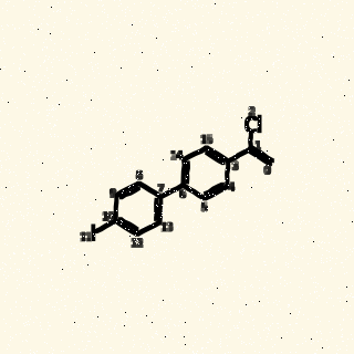 C=C(Cl)c1ccc(-c2ccc(I)cc2)cc1